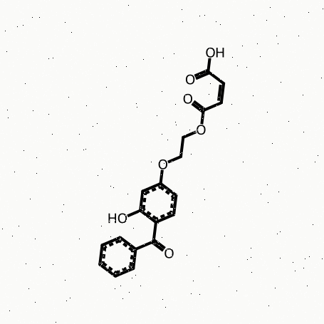 O=C(O)/C=C\C(=O)OCCOc1ccc(C(=O)c2ccccc2)c(O)c1